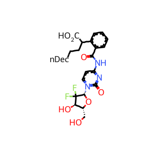 CCCCCCCCCCCCC(C(=O)O)c1ccccc1C(=O)Nc1ccn([C@@H]2O[C@H](CO)[C@@H](O)C2(F)F)c(=O)n1